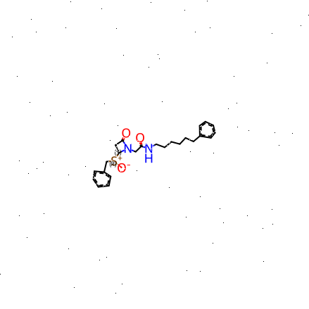 O=C(CN1C(=O)C[C@@H]1[S@@+]([O-])Cc1ccccc1)NCCCCCCc1ccccc1